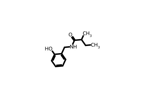 CCC(C)C(=O)NCc1ccccc1O